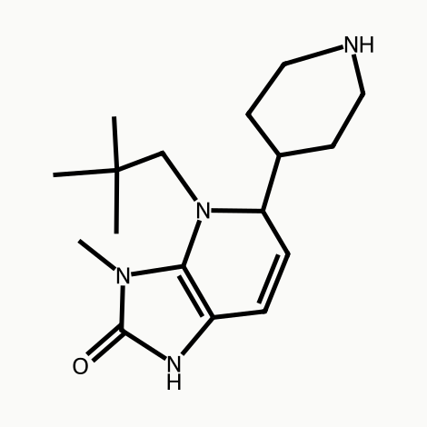 Cn1c2c([nH]c1=O)C=CC(C1CCNCC1)N2CC(C)(C)C